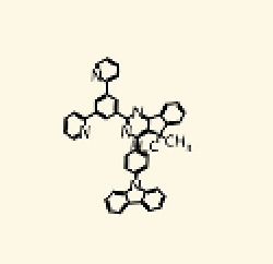 CC1(C)c2ccccc2-c2nc(-c3cc(-c4ccccn4)cc(-c4ccccn4)c3)nc(-c3ccc(-n4c5ccccc5c5ccccc54)cc3)c21